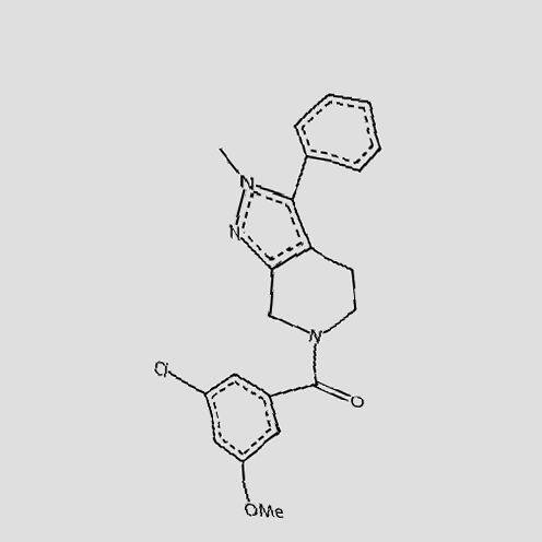 COc1cc(Cl)cc(C(=O)N2CCc3c(nn(C)c3-c3ccccc3)C2)c1